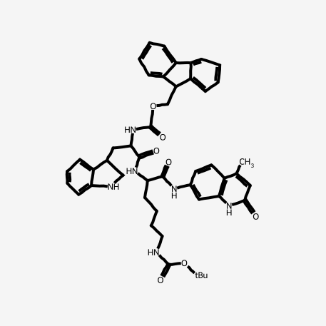 Cc1cc(=O)[nH]c2cc(NC(=O)C(CCCCNC(=O)OC(C)(C)C)NC(=O)C(CC3CNc4ccccc43)NC(=O)OCC3c4ccccc4-c4ccccc43)ccc12